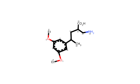 CCOc1cc(OCC)cc(C(C)CC(CN)C(=O)O)c1